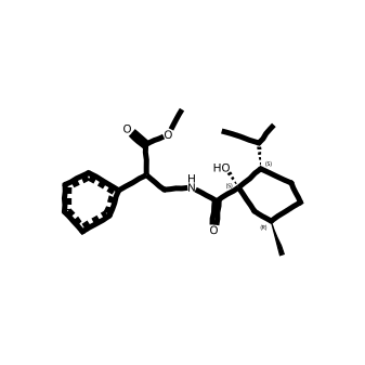 COC(=O)C(CNC(=O)[C@]1(O)C[C@H](C)CC[C@H]1C(C)C)c1ccccc1